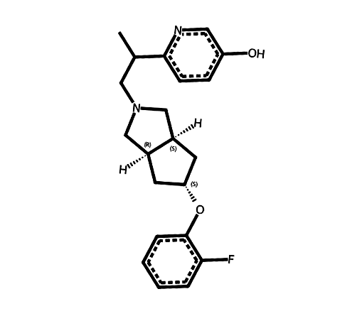 CC(CN1C[C@H]2C[C@H](Oc3ccccc3F)C[C@H]2C1)c1ccc(O)cn1